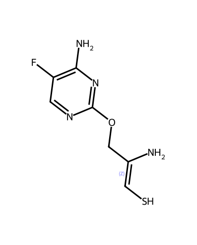 N/C(=C\S)COc1ncc(F)c(N)n1